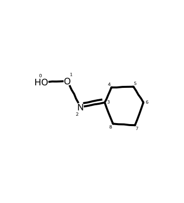 OON=C1CCCCC1